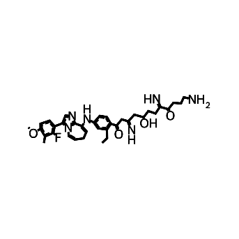 CCc1cc(NC2=CCC=Cn3c(-c4ccc(OC)c(C)c4F)cnc32)ccc1C(=O)CC(=N)CC(O)CCC(=N)C(=O)CCCN